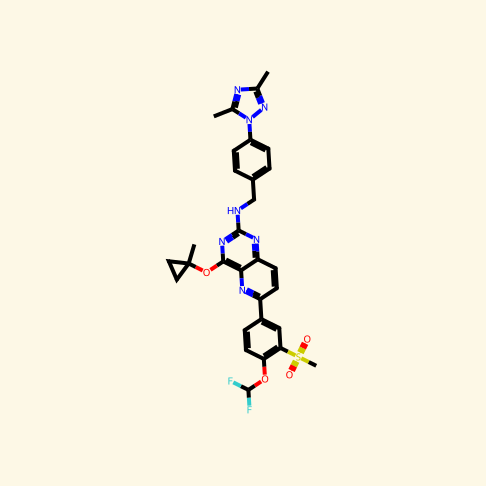 Cc1nc(C)n(-c2ccc(CNc3nc(OC4(C)CC4)c4nc(-c5ccc(OC(F)F)c(S(C)(=O)=O)c5)ccc4n3)cc2)n1